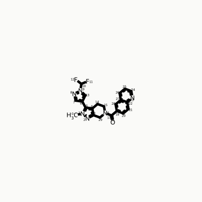 Cn1nc2c(c1-c1cnn(C(F)F)c1)CCN(C(=O)c1ccc3ncccc3c1)C2